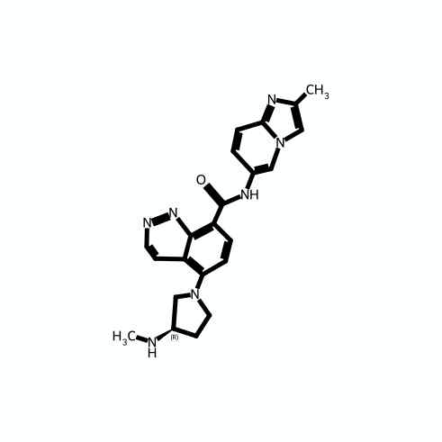 CN[C@@H]1CCN(c2ccc(C(=O)Nc3ccc4nc(C)cn4c3)c3nnccc23)C1